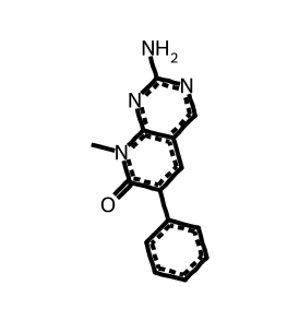 Cn1c(=O)c(-c2ccccc2)cc2cnc(N)nc21